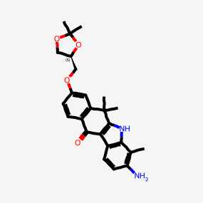 Cc1c(N)ccc2c3c([nH]c12)C(C)(C)c1cc(OC[C@H]2COC(C)(C)O2)ccc1C3=O